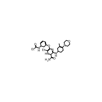 CCC(=O)NC1C=CC=C(OC2=C(CC)NC(C(N)=O)C(NC3CCC(N4CCOCC4)=C(C)C3)=N2)C1